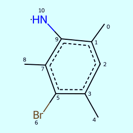 Cc1cc(C)c(Br)c(C)c1[NH]